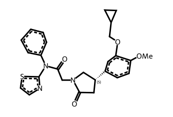 COc1ccc([C@@H]2CC(=O)N(CC(=O)N(c3ccccc3)c3nccs3)C2)cc1OCC1CC1